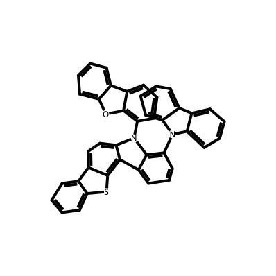 c1ccc2c(c1)oc1c(-n3c4ccc5c6ccccc6sc5c4c4cccc(-n5c6ccccc6c6ccccc65)c43)cccc12